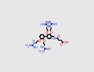 N=C(N)NCCOc1cccc(-c2ccc(CNC(=O)CCC(=O)O)c(OCCNC(=N)N)c2OCCNC(=N)N)c1OCCNC(=N)N